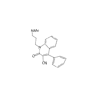 CNCCCn1c(=O)c(C#N)c(-c2ccccc2)c2ccccc21